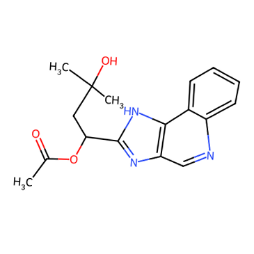 CC(=O)OC(CC(C)(C)O)c1nc2cnc3ccccc3c2[nH]1